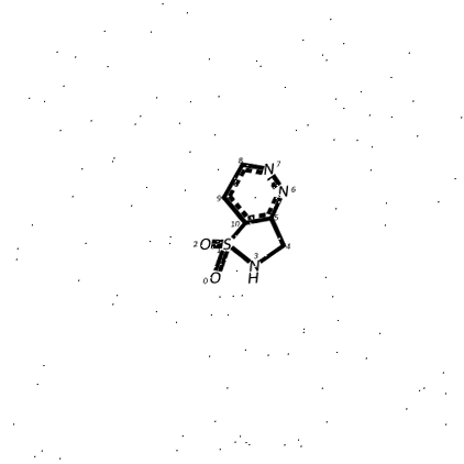 O=S1(=O)NCc2nnccc21